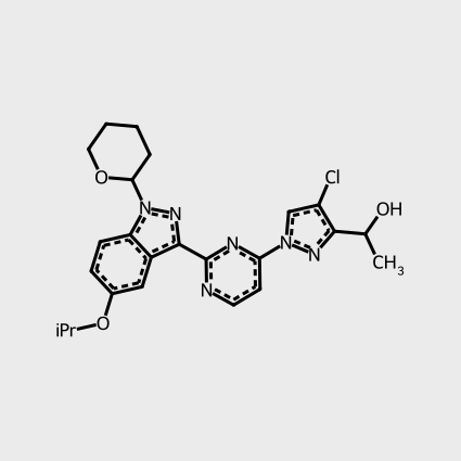 CC(C)Oc1ccc2c(c1)c(-c1nccc(-n3cc(Cl)c(C(C)O)n3)n1)nn2C1CCCCO1